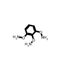 NOc1cccc(ON)c1ON